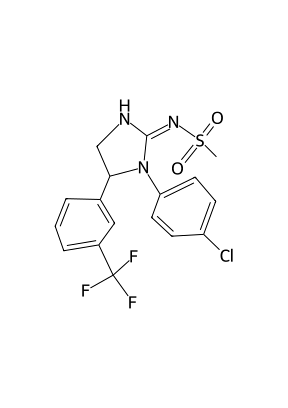 CS(=O)(=O)N=C1NCC(c2cccc(C(F)(F)F)c2)N1c1ccc(Cl)cc1